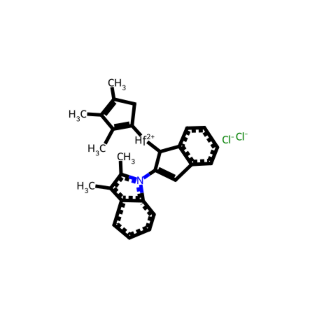 CC1=C(C)C(C)=[C]([Hf+2][CH]2C(n3c(C)c(C)c4ccccc43)=Cc3ccccc32)C1.[Cl-].[Cl-]